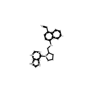 O=Cc1ccc(OCC2CCCN2c2ncnc3[nH]cnc23)c2ccccc12